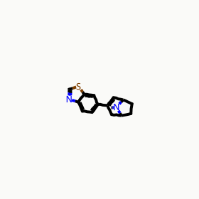 CN1C2C=C(c3ccc4ncsc4c3)CC1CC2